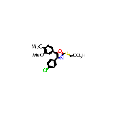 COc1ccc(-c2oc(SCC(=O)O)nc2-c2ccc(Cl)cc2)cc1OC